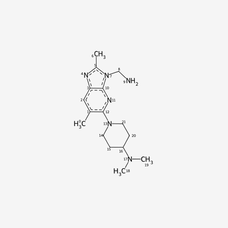 Cc1cc2nc(C)n(CN)c2nc1N1CCC(N(C)C)CC1